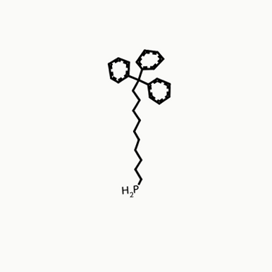 PCCCCCCCCCCC(c1ccccc1)(c1ccccc1)c1ccccc1